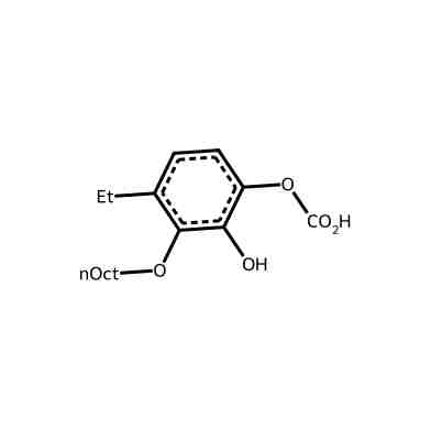 CCCCCCCCOc1c(CC)ccc(OC(=O)O)c1O